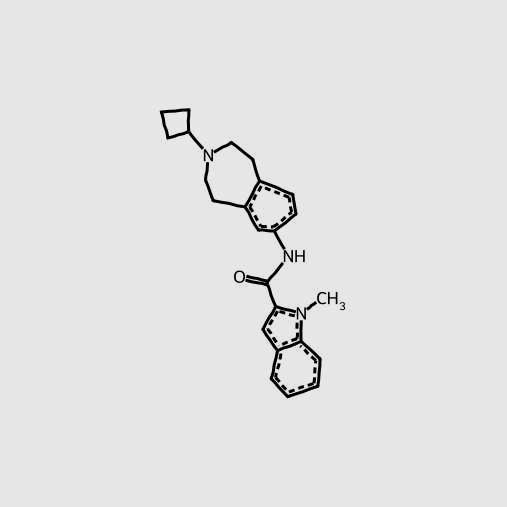 Cn1c(C(=O)Nc2ccc3c(c2)CCN(C2CCC2)CC3)cc2ccccc21